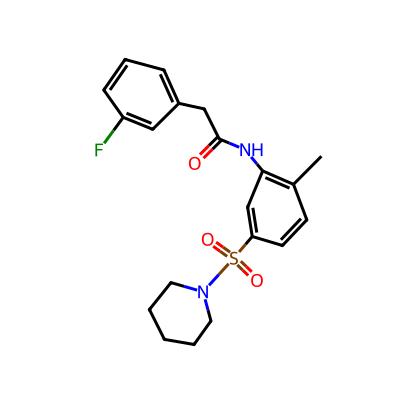 Cc1ccc(S(=O)(=O)N2CCCCC2)cc1NC(=O)Cc1cccc(F)c1